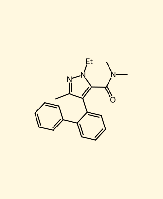 CCn1nc(C)c(-c2ccccc2-c2ccccc2)c1C(=O)N(C)C